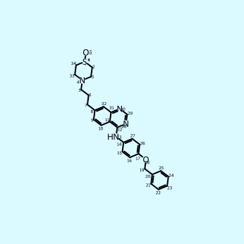 [O-][S+]1CCN(CCCc2ccc3c(Nc4ccc(OCc5ccccc5)cc4)ncnc3c2)CC1